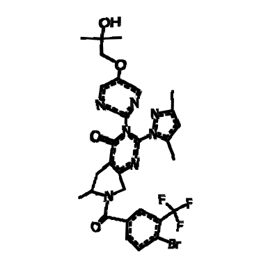 Cc1cc(C)n(-c2nc3c(c(=O)n2-c2ncc(OCC(C)(C)O)cn2)CC(C)N(C(=O)c2ccc(Br)c(C(F)(F)F)c2)C3)n1